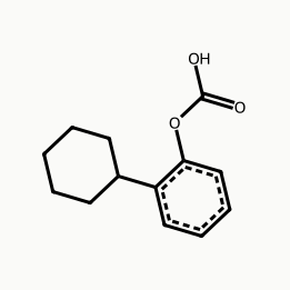 O=C(O)Oc1ccccc1C1CCCCC1